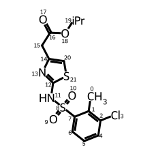 Cc1c(Cl)cccc1S(=O)(=O)Nc1nc(CC(=O)OC(C)C)cs1